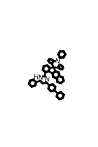 C1=C(c2ccccc2)NC(c2cccc3c2-c2cc4ccccc4cc2C32c3ccccc3N(c3ccccc3)c3ccccc32)N=C1c1ccc(-c2ccccc2)cc1